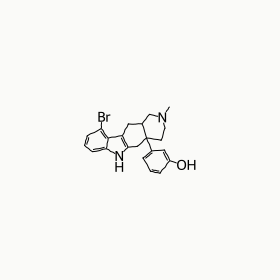 CN1CCC2(c3cccc(O)c3)Cc3[nH]c4cccc(Br)c4c3CC2C1